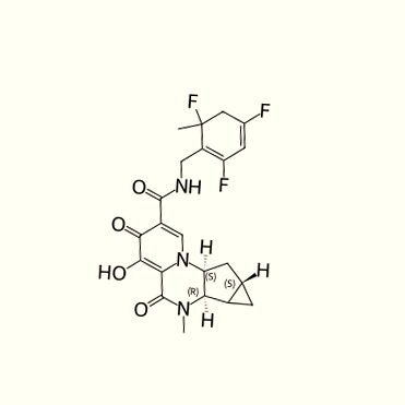 CN1C(=O)c2c(O)c(=O)c(C(=O)NCC3=C(F)C=C(F)CC3(C)F)cn2[C@H]2C[C@@H]3CC3[C@H]21